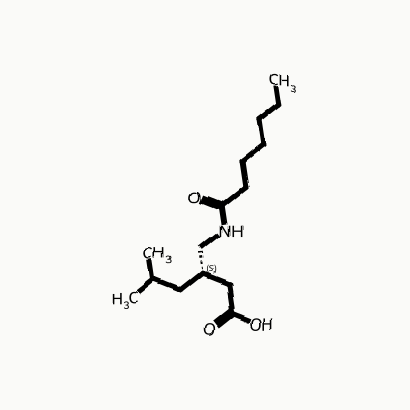 CCCCCCC(=O)NC[C@H](CC(=O)O)CC(C)C